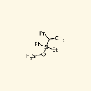 CC[Si](CC)(O[SiH3])C(C)C(C)C